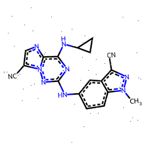 Cn1nc(C#N)c2cc(Nc3nc(NC4CC4)c4ncc(C#N)n4n3)ccc21